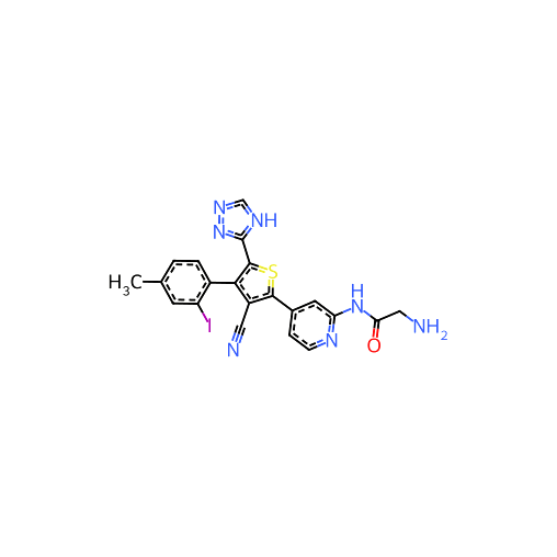 Cc1ccc(-c2c(-c3nnc[nH]3)sc(-c3ccnc(NC(=O)CN)c3)c2C#N)c(I)c1